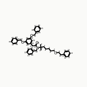 CC(C)(CCCCCOCCc1ccccc1)N(Cc1ccccc1)C(=O)Cc1cc(OCc2ccccc2)cc(OCc2ccccc2)c1